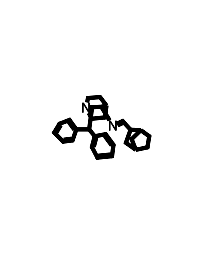 C(=NC1C2CCN(CC2)C1C(c1ccccc1)c1ccccc1)C1CC2CCC1C2